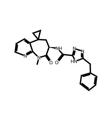 CN1C(=O)[C@H](NC(=O)c2nnc(Cc3ccccc3)[nH]2)CC2(CC2)c2cccnc21